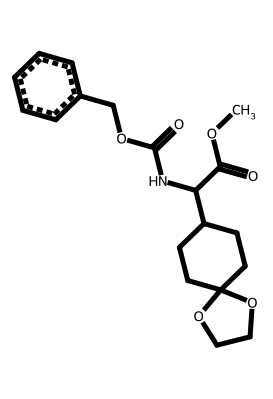 COC(=O)C(NC(=O)OCc1ccccc1)C1CCC2(CC1)OCCO2